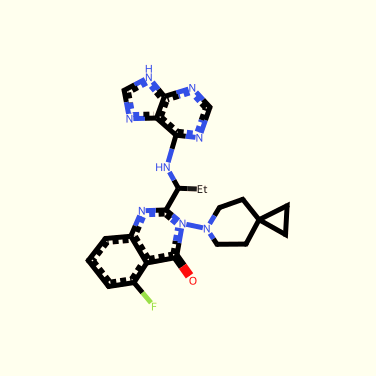 CCC(Nc1ncnc2[nH]cnc12)c1nc2cccc(F)c2c(=O)n1N1CCC2(CC1)CC2